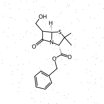 CC1(C)S[C@@H]2C(CO)C(=O)N2[C@H]1C(=O)OCc1ccccc1